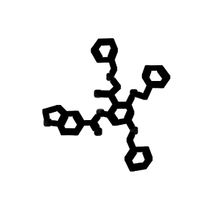 O=C(Oc1cc(OCc2ccccc2)cc(OCc2ccccc2)c1C(=O)COCc1ccccc1)c1ccc2c(c1)CCO2